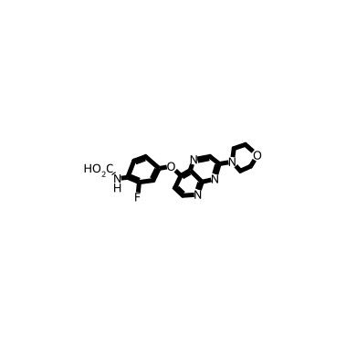 O=C(O)Nc1ccc(Oc2ccnc3nc(N4CCOCC4)cnc23)cc1F